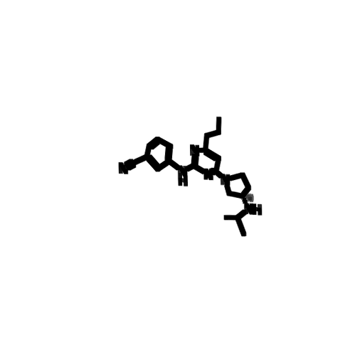 CCCc1cc(N2CC[C@H](NC(C)C)C2)nc(Nc2cccc(C#N)c2)n1